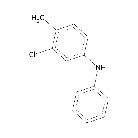 Cc1ccc(Nc2ccccc2)cc1Cl